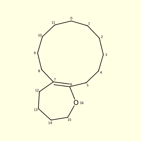 C1CCCCCC2=C(CCCC1)CCCCO2